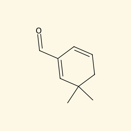 CC1(C)C=C(C=O)C=CC1